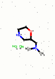 CN(C)CC1CNCCO1.Cl.Cl